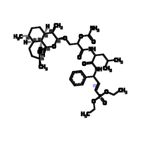 CCOP(=O)(/C=C/C(NC(=O)C(CC(C)C)NC(=O)C(CO[C@H]1O[C@@H]2O[C@@]3(C)CC[C@H]4[C@H](C)CC[C@@H]([C@H]1C)[C@@]24OO3)OC(N)=O)c1ccccc1)OCC